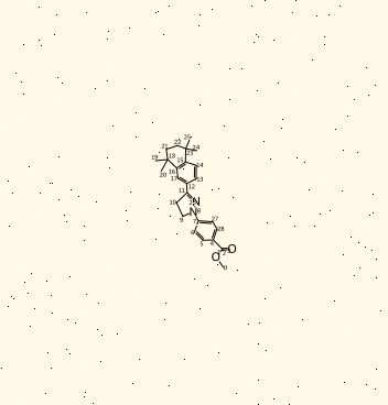 COC(=O)c1ccc(N2CCC(c3ccc4c(c3)C(C)(C)CCC4(C)C)=N2)cc1